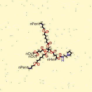 CCCCC/C=C\CCOC(=O)CCCCCC(=O)OCC(COC(=O)CCCCCC(=O)OCC/C=C\CCCCC)(COC(=O)CCC(CCCCCC)OC(=O)NCCN1CCCC1)COC(=O)CCC(OCCCCCCCC)OCCCCCCCC